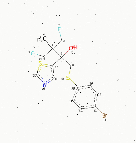 CC(CF)(CF)C(O)(CSc1ccc(Br)cc1)c1cncs1